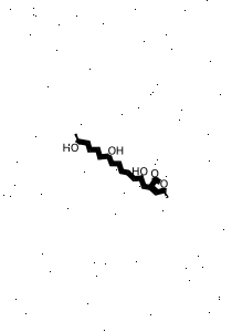 C[C@H](O)CCCCC(O)CCCCC[C@@H](O)CC1=C[C@H](C)OC1=O